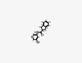 O=C(Nc1cncc(Br)c1)C1Cc2ccccc2C1